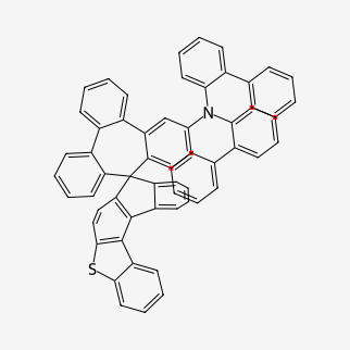 c1ccc(-c2ccccc2N(c2ccc3c(c2)-c2ccccc2-c2ccccc2C32c3ccccc3-c3c2ccc2sc4ccccc4c32)c2ccccc2-c2ccccc2)cc1